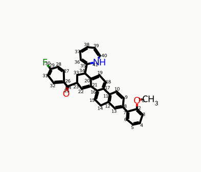 COc1ccccc1-c1ccc2c(c1)CC=c1c-2ccc2c1=CC(C(=O)c1ccc(F)cc1)CC2C1=CC=CC=CN1